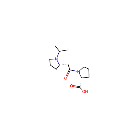 CC(C)N1CCC[C@H]1CC(=O)N1CCC[C@@H]1C(=O)O